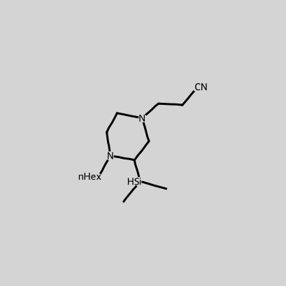 CCCCCCN1CCN(CCC#N)CC1[SiH](C)C